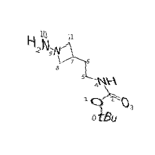 CC(C)(C)OC(=O)NCCC1CN(N)C1